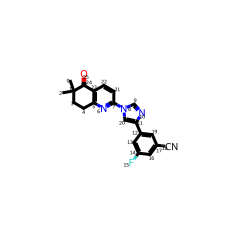 CC1(C)CCc2nc(-n3cnc(-c4cc(F)cc(C#N)c4)c3)ccc2C1=O